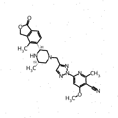 COc1cc(-n2ncc(CN3C[C@@H](c4ccc5c(c4C)COC5=O)N[C@@H](C)C3)n2)nc(C)c1C#N